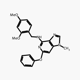 COc1ccc(CNc2nc(Oc3ccccc3)cc3c2ncn3C)c(OC)c1